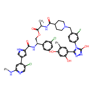 CC(C)Nc1cc(-c2c[nH]c(C(=O)N[C@@H](COC(=O)C(C)NC(=O)C3CCN(Cc4ccc(-n5c(O)nnc5-c5cc(C(C)C)c(O)cc5O)cc4F)CC3)c3cccc(Cl)c3)c2)c(Cl)cn1